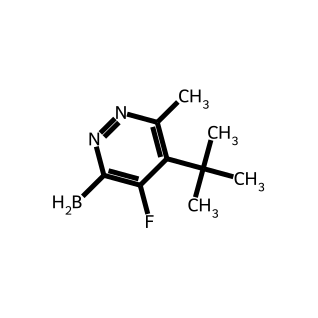 Bc1nnc(C)c(C(C)(C)C)c1F